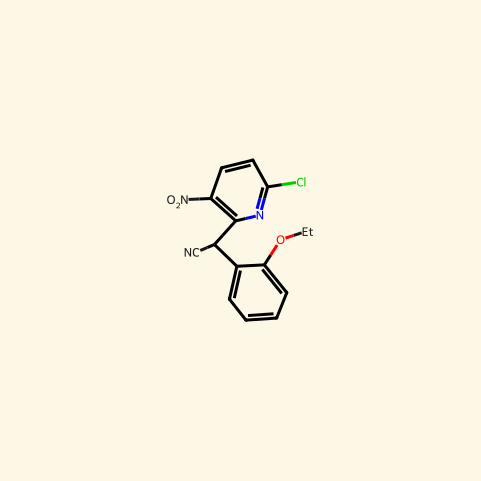 CCOc1ccccc1C(C#N)c1nc(Cl)ccc1[N+](=O)[O-]